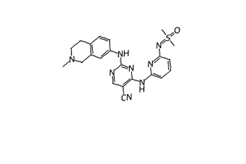 CN1CCc2ccc(Nc3ncc(C#N)c(Nc4cccc(N=S(C)(C)=O)n4)n3)cc2C1